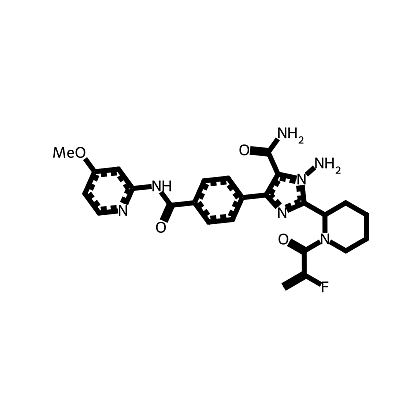 C=C(F)C(=O)N1CCCCC1c1nc(-c2ccc(C(=O)Nc3cc(OC)ccn3)cc2)c(C(N)=O)n1N